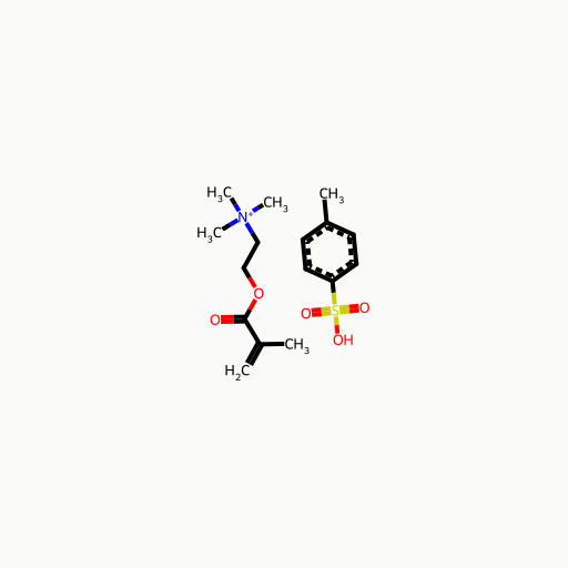 C=C(C)C(=O)OCC[N+](C)(C)C.Cc1ccc(S(=O)(=O)O)cc1